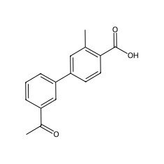 CC(=O)c1cccc(-c2ccc(C(=O)O)c(C)c2)c1